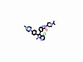 CC(C)N1CCC(NC(=O)c2cccc(-c3c(-c4ccc(N5CCN(C)CC5)cc4)n(C)c4nccc(Cl)c34)c2)CC1